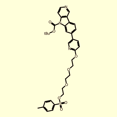 Cc1ccc(S(=O)(=O)OCCOCCOCCOc2ccc(-c3ccc4c5cnccc5n(C(=O)OC(C)(C)C)c4c3)cn2)cc1